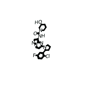 O=C(Nc1cnn2ccc(N3CCCC3c3cc(F)ccc3Cl)nc12)N1CCCC(O)C1